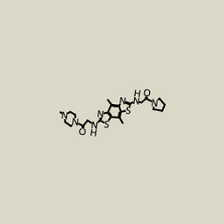 Cc1c2nc(NCC(=O)N3CCCC3)sc2c(C)c2sc(NCC(=O)N3CCN(C)CC3)nc12